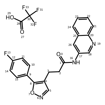 O=C(CCc1cnoc1-c1ccc(F)cc1)Nc1cnc2ccccc2c1.O=C(O)C(F)(F)F